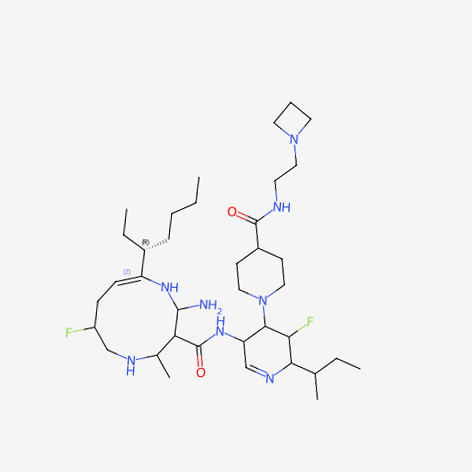 CCCC[C@@H](CC)/C1=C/CC(F)CNC(C)C(C(=O)NC2C=NC(C(C)CC)C(F)C2N2CCC(C(=O)NCCN3CCC3)CC2)C(N)N1